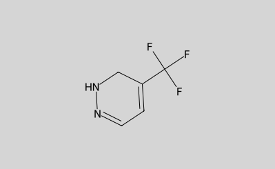 FC(F)(F)C1=CC=NNC1